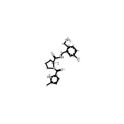 Cc1ccc(C(=O)N2CCC[C@@]2(C)C(=O)NCc2cc(Cl)ccc2CN)[nH]1